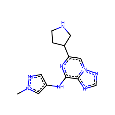 Cn1cc(Nc2nc(C3CCNC3)cn3ncnc23)cn1